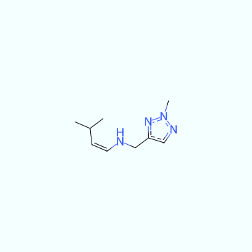 CC(C)/C=C\NCc1cnn(C)n1